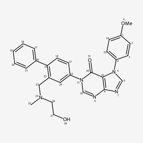 COc1ccc(-n2cnc3ncn(-c4ccc(-c5ccccc5)c(CN(C)CCO)c4)c(=O)c32)cc1